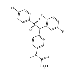 CCOC(=O)C(=O)N(C)c1ccc(C(c2cc(F)ccc2F)S(=O)(=O)c2ccc(Cl)cc2)nc1